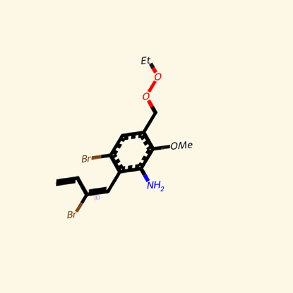 C=C/C(Br)=C\c1c(Br)cc(COOCC)c(OC)c1N